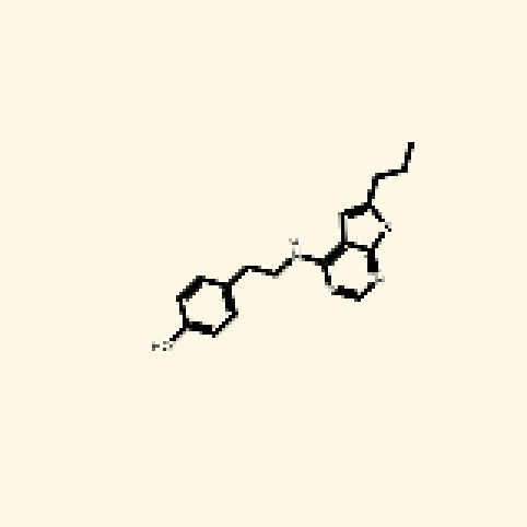 CCCc1cc2c(NCCc3ccc(O)cc3)ncnc2s1